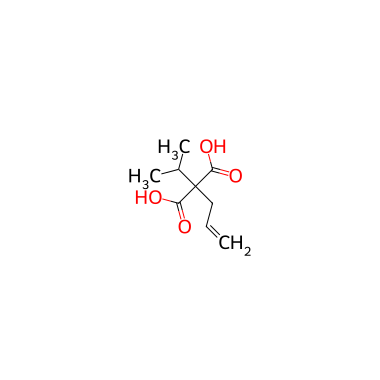 C=CCC(C(=O)O)(C(=O)O)C(C)C